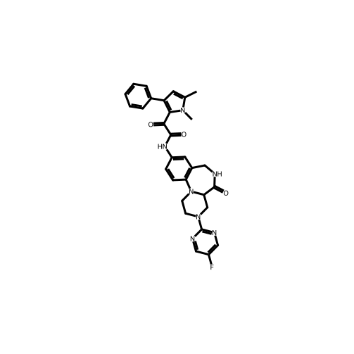 Cc1cc(-c2ccccc2)c(C(=O)C(=O)Nc2ccc3c(c2)CNC(=O)C2CN(c4ncc(F)cn4)CCN32)n1C